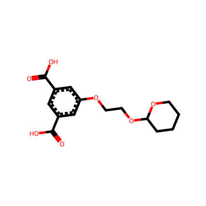 O=C(O)c1cc(OCCOC2CCCCO2)cc(C(=O)O)c1